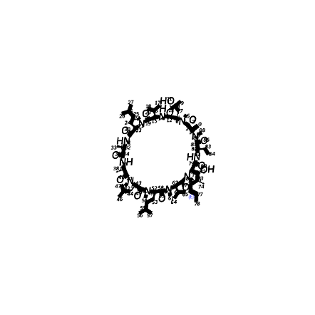 C=C1C(=O)N(C)[C@@H](CC(C)(C)O)C(=O)N[C@H](C(C)C)C(=O)N(C)[C@H](CCC(C)C)C(=O)N[C@H](C)C(=O)N[C@@H](C)C(=O)N(C)[C@@H](CC(C)C)C(=O)N(C)[C@H](CCC(C)C)C(=O)N(C)[C@H](C(C)C)C(=O)N(C)[C@@H]([C@H](O)[C@H](C)C/C=C/C)C(=O)N[C@H](CC)C(=O)N1C